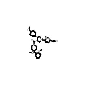 COc1ccc([C@@H]2CN(c3ccc(C#N)nn3)C[C@H]2C(=O)N2CC[C@](OC)(c3ccccc3)[C@@H](OC)C2)cc1